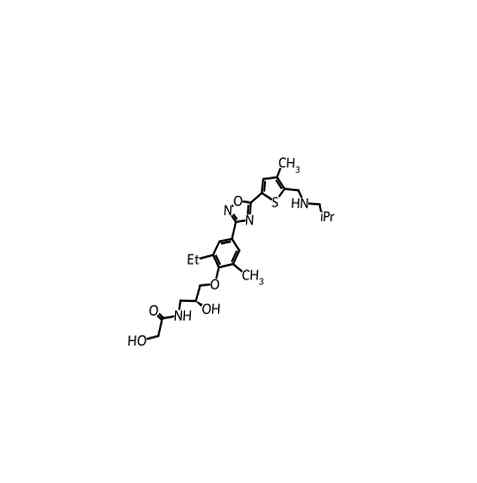 CCc1cc(-c2noc(-c3cc(C)c(CNCC(C)C)s3)n2)cc(C)c1OC[C@@H](O)CNC(=O)CO